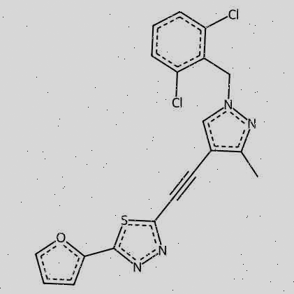 Cc1nn(Cc2c(Cl)cccc2Cl)cc1C#Cc1nnc(-c2ccco2)s1